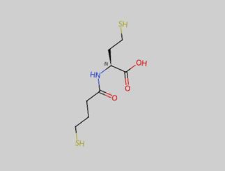 O=C(CCCS)N[C@@H](CCS)C(=O)O